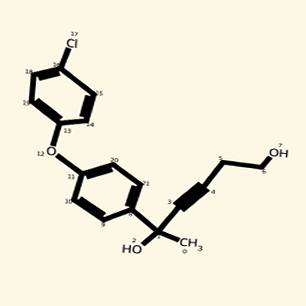 CC(O)(C#CCCO)c1ccc(Oc2ccc(Cl)cc2)cc1